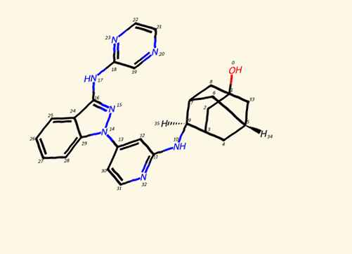 OC12CC3C[C@H](CC(C1)[C@@H]3Nc1cc(-n3nc(Nc4cnccn4)c4ccccc43)ccn1)C2